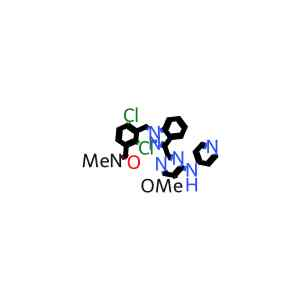 CNC(=O)c1ccc(Cl)c(Cn2nc(-c3ncc(OC)c(Nc4ccncc4)n3)c3ccccc32)c1Cl